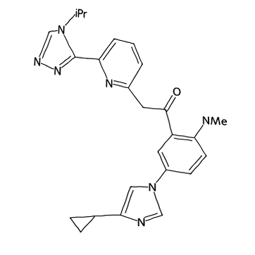 CNc1ccc(-n2cnc(C3CC3)c2)cc1C(=O)Cc1cccc(-c2nncn2C(C)C)n1